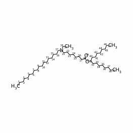 CCCCCCCCCCCCCCCCCCN(CC)CCCCCCCC(=O)OC(CCCCCCCC)CCCCCCCC